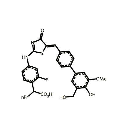 CCCC(C(=O)O)c1ccc(NC2=NC(=O)C(=Cc3ccc(-c4cc(CO)c(O)c(OC)c4)cc3)S2)cc1F